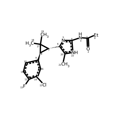 CCC(=O)Nc1nc([C@@H]2[C@@H](c3ccc(F)c(Cl)c3)C2(C)C)c(C)[nH]1